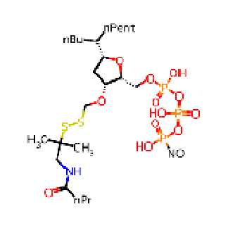 CCCCCC(CCCC)[C@H]1C[C@@H](OCSSC(C)(C)CNC(=O)CCC)[C@@H](COP(=O)(O)OP(=O)(O)OP(=O)(O)N=O)O1